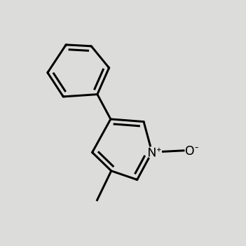 Cc1cc(-c2ccccc2)c[n+]([O-])c1